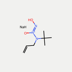 C=CCN([N+]([O-])=NO)C(C)(C)C.[NaH]